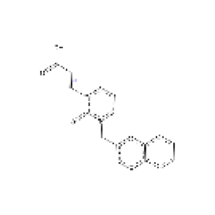 O=C(O)/C=C/c1cccn(Cc2ccc3ccccc3c2)c1=O